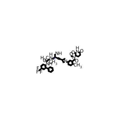 Cc1ccc(N2CC(C#C/C(C=N)=C/NC(C)(C)C(=O)Nc3ccc(C(F)(F)F)cc3-c3ccccc3)C2)cc1C(=O)N(C=O)C1CCC(=O)NC1=O